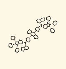 c1ccc(-c2c(-c3ccccc3)n(-c3ccccc3)c3cc(N(c4ccc(-c5c6ccccc6c(-c6ccc(N(c7ccc8c(-c9ccccc9)c(-c9ccccc9)n(-c9ccccc9)c8c7)c7cccc8ccccc78)cc6)c6ccccc56)cc4)c4cccc5ccccc45)ccc23)cc1